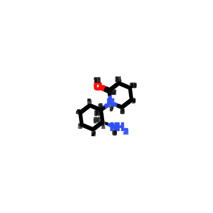 N[C@@H]1CCCC[C@H]1N1CCCCC1=O